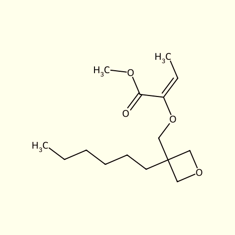 CC=C(OCC1(CCCCCC)COC1)C(=O)OC